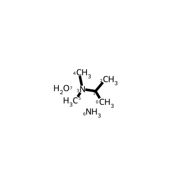 CC(C)N(C)C.N.O